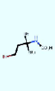 CC(C)[C@@](CCBr)(NC(=O)O)C(C)(C)C